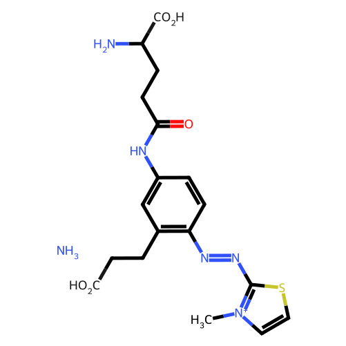 C[n+]1ccsc1/N=N/c1ccc(NC(=O)CCC(N)C(=O)O)cc1CCC(=O)O.N